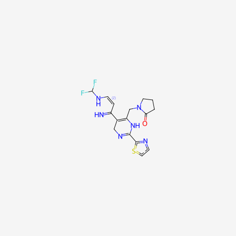 N=C(/C=C\NC(F)F)C1=C(CN2CCCC2=O)NC(c2nccs2)=NC1